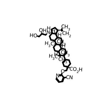 C=C(C)[C@@H]1CC[C@]2(NC[C@@H](O)CO)CC[C@]3(C)[C@H](CC[C@@H]4[C@@]5(C)CC=C(C6=CC[C@](COc7ncccc7C#N)(C(=O)O)CC6)C(C)(C)[C@@H]5CC[C@]43C)[C@@H]12